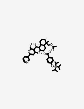 CC(=O)OCC1(C)C2C[C@H](OC(=O)c3ccc(O[Si](C(C)C)(C(C)C)C(C)C)cc3)[C@@]3(C)Oc4cc(-c5cccnc5)oc(=O)c4[C@H](O)C3[C@@]2(C)CC[C@@H]1C